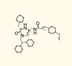 O=C(/C=C/c1ccc(CI)cc1)NC[C@@H]1CCN(CC(c2ccccc2)c2ccccc2)C(=O)[C@H](Cc2ccccc2)N1